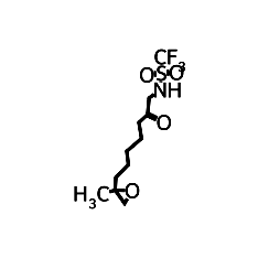 CC1(CCCCCC(=O)CNS(=O)(=O)C(F)(F)F)CO1